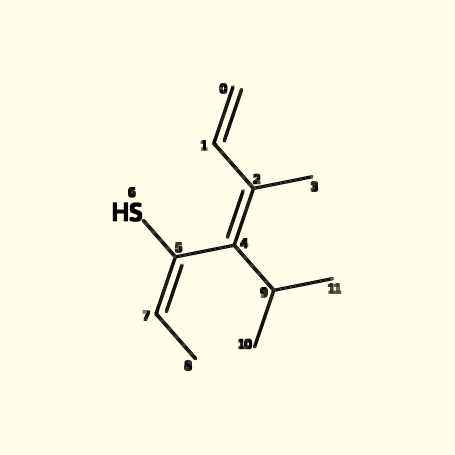 C=C/C(C)=C(\C(S)=C/C)C(C)C